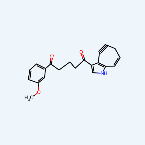 COc1cccc(C(=O)CCCC(=O)c2c[nH]c3c2C#CCC=C3)c1